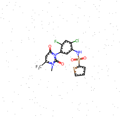 Cn1c(C(F)(F)F)cc(=O)n(-c2cc(NS(=O)(=O)c3cccs3)c(Cl)cc2F)c1=O